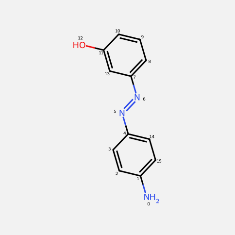 Nc1ccc(N=Nc2cccc(O)c2)cc1